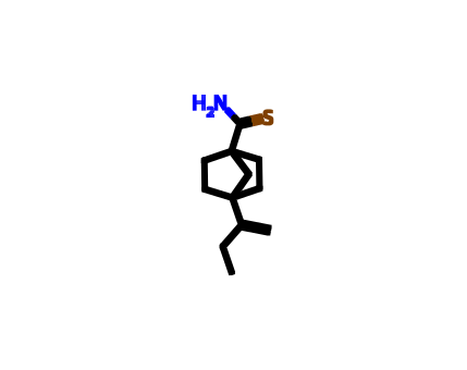 C=C(CC)C12CCC(C(N)=S)(CC1)C2